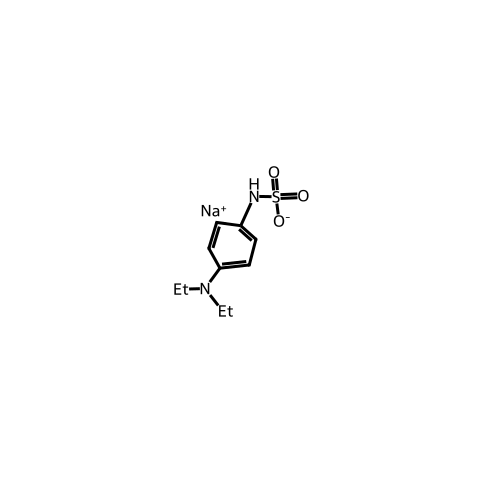 CCN(CC)c1ccc(NS(=O)(=O)[O-])cc1.[Na+]